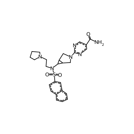 NC(=O)c1cnc(N2CC3C(C2)C3N(CCN2CCCC2)S(=O)(=O)c2ccc3ccccc3c2)nc1